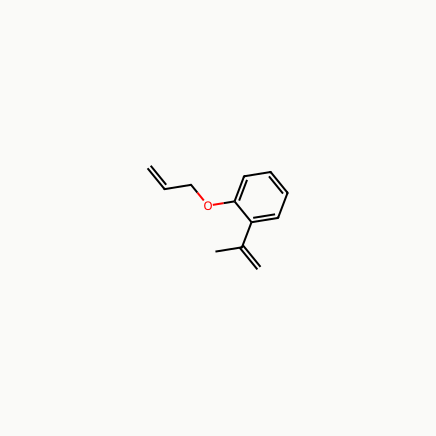 C=CCOc1ccccc1C(=C)C